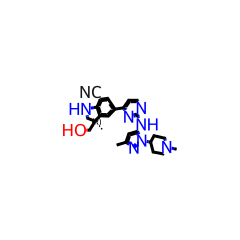 Cc1cc(Nc2nccc(-c3cc(C#N)c4c(c3)[C@@](C)(CO)CN4)n2)n(C2CCN(C)CC2)n1